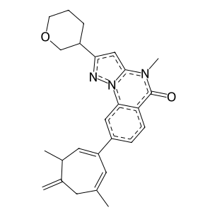 C=C1CC(C)=CC(c2ccc3c(=O)n(C)c4cc(C5CCCOC5)nn4c3c2)=CC1C